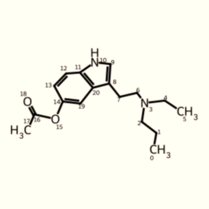 CCCN(CC)CCc1c[nH]c2ccc(OC(C)=O)cc12